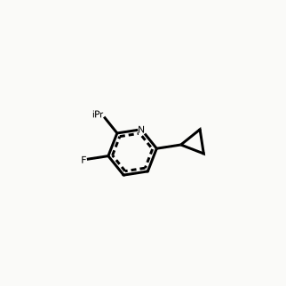 CC(C)c1nc(C2CC2)ccc1F